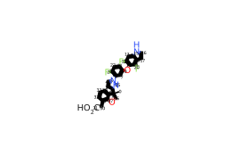 C[C@@]1(c2ccn(-c3cc(Oc4c(F)cc5[nH]ccc5c4F)ccc3F)n2)COc2c(CC(=O)O)cccc21